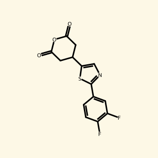 O=C1CC(c2cnc(-c3ccc(F)c(F)c3)s2)CC(=O)O1